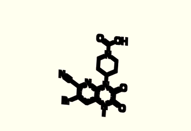 Cn1c(=O)c(=O)n(C2CCN(C(=O)O)CC2)c2nc(C#N)c(Br)cc21